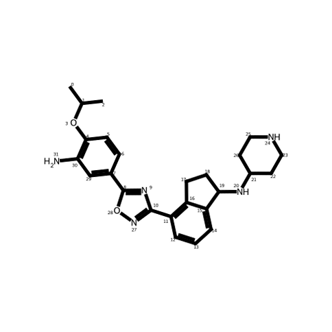 CC(C)Oc1ccc(-c2nc(-c3cccc4c3CCC4NC3CCNCC3)no2)cc1N